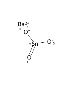 [Ba+2].[O]=[Sn]([O-])[O-]